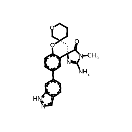 CN1C(=O)[C@@]2(C[C@]3(CCCOC3)Oc3ccc(-c4ccc5cn[nH]c5c4)cc32)N=C1N